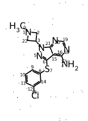 CN1CC(n2nc(Sc3cccc(Cl)c3)c3c(N)ncnc32)C1